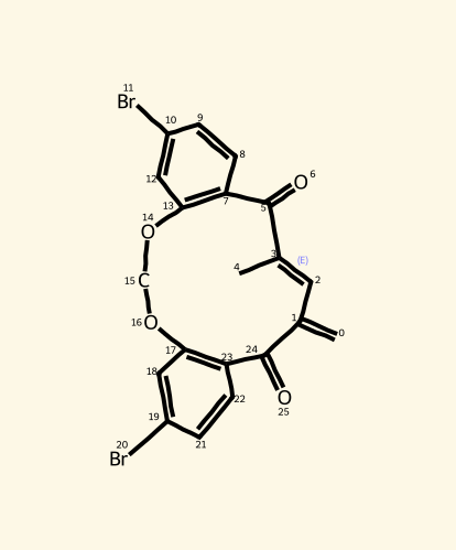 C=C1/C=C(\C)C(=O)c2ccc(Br)cc2OCOc2cc(Br)ccc2C1=O